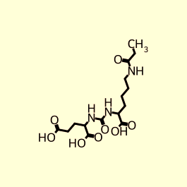 CCC(=O)NCCCCC(NC(=O)NC(CCC(=O)O)C(=O)O)C(=O)O